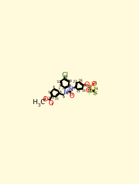 COC(=O)c1cccc(Cn2c(=O)n(-c3ccc(OS(=O)(=O)C(F)(F)F)cc3)c3cc(Cl)ccc32)c1